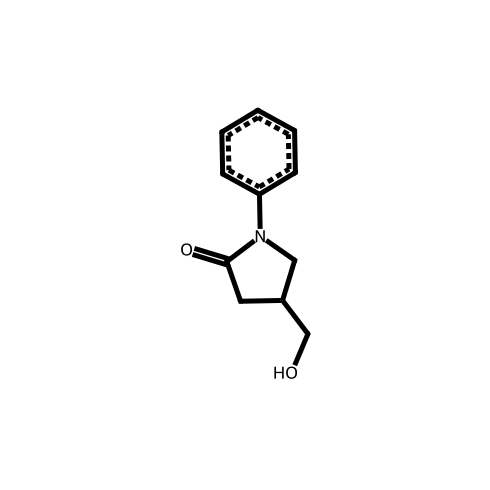 O=C1CC(CO)CN1c1ccccc1